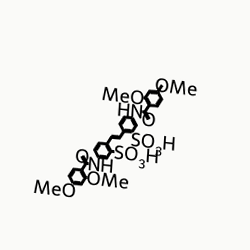 COc1ccc(C(=O)Nc2ccc(C=Cc3ccc(NC(=O)c4ccc(OC)cc4OC)cc3S(=O)(=O)O)c(S(=O)(=O)O)c2)c(OC)c1